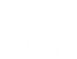 C\C=C(C(/C(N)=C/C(C)=C\CCC)=C(\ON)C1CC1)\C(C)C